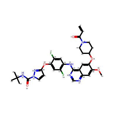 C=CC(=O)N1CCC(Oc2cc3c(Nc4cc(F)c(Oc5ccn(C(=O)NC(C)(C)C)n5)cc4F)ncnc3cc2OC)CC1